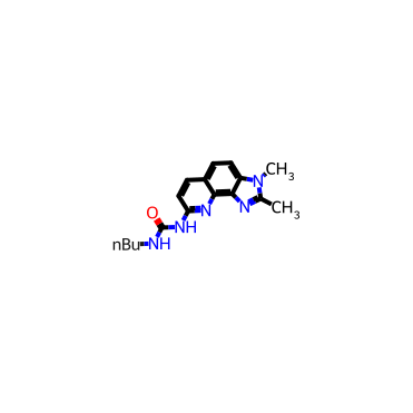 CCCCNC(=O)Nc1ccc2ccc3c(nc(C)n3C)c2n1